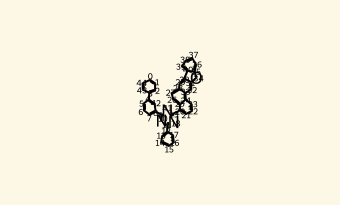 c1ccc(-c2cccc(-c3nc(-c4ccccc4)nc(-c4cccc5c4ccc4cc6c(cc45)oc4ccccc46)n3)c2)cc1